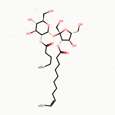 CCCCCCCC/C=C\CCCCCCCC(=O)O[C@H]1[C@H](O)[C@@H](CO)O[C@@]1(CO)O[C@H]1O[C@H](CO)[C@@H](O)[C@H](O)[C@H]1OC(=O)CCCCCCCCCCCCC